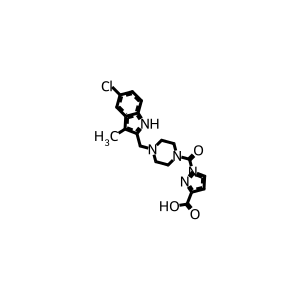 Cc1c(CN2CCN(C(=O)n3ccc(C(=O)O)n3)CC2)[nH]c2ccc(Cl)cc12